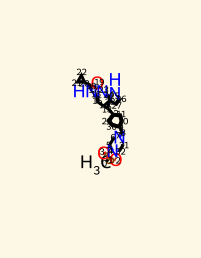 CS(=O)(=O)N1CCN(Cc2ccc(C3C4C=C(NC(=O)C5CC5)N=C5NC=CC543)cc2)CC1